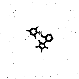 CC1=C(C)C(C)C(c2ccccc2C=Nc2c(C)cc(C)cc2C)=C1C